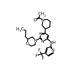 CCCC1CN(c2nc(Nc3cc(C(F)(F)F)ccn3)cc(C3CCCN(C(C)=O)C3)n2)CCO1